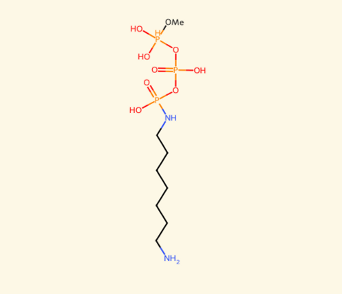 CO[PH](O)(O)OP(=O)(O)OP(=O)(O)NCCCCCCCN